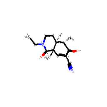 CCN1CC[C@H]2[C@H](C)C(=O)C(C#N)=C[C@]2(C)C1=O